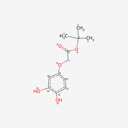 CC(C)(C)OC(=O)COc1ccc(O)c(O)c1